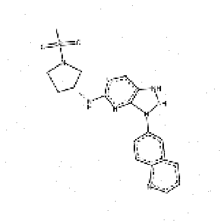 CS(=O)(=O)N1CC[C@@H](Nc2ncc3c(n2)N(c2ccc4ncccc4c2)NN3)C1